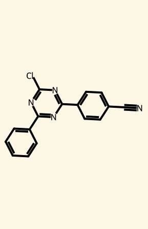 N#Cc1ccc(-c2nc(Cl)nc(-c3ccccc3)n2)cc1